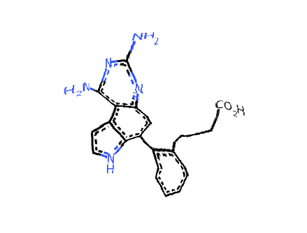 Nc1nc(N)c2c(cc(-c3ccccc3CCC(=O)O)c3[nH]ccc32)n1